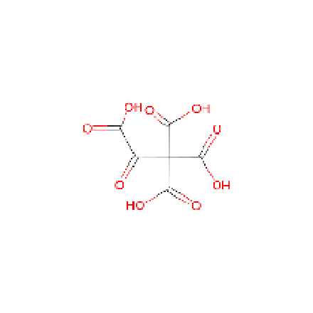 O=C(O)C(=O)C(C(=O)O)(C(=O)O)C(=O)O